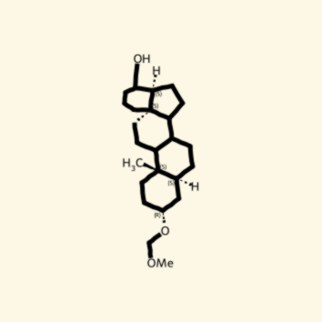 COCO[C@@H]1CC[C@]2(C)C3CC[C@]45CCCC(O)[C@H]4CCC5C3CC[C@H]2C1